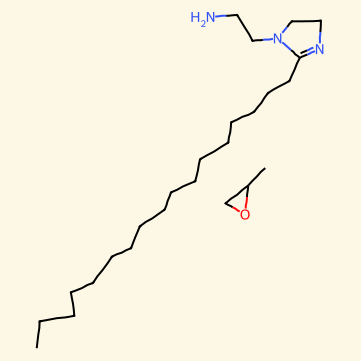 CC1CO1.CCCCCCCCCCCCCCCCCC1=NCCN1CCN